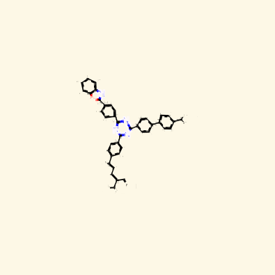 C=C/C(=C\C=C(/C)c1ccc(-c2nc(-c3ccc(-c4ccc(C(C)C)cc4)cc3)nc(-c3ccc(-c4nc5ccccc5o4)cc3)n2)cc1)C(C)C